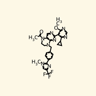 COc1ncnc(C2CC2)c1-c1ncc2c(n1)N(Cc1ccc(-c3nc(C(F)(F)F)cn3C)cc1)CCN2C(C)=O